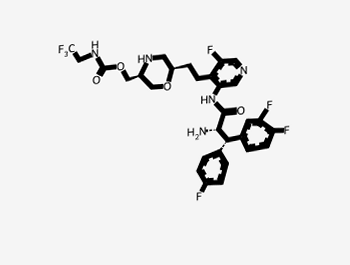 N[C@H](C(=O)Nc1cncc(F)c1CC[C@@H]1CN[C@H](COC(=O)NCC(F)(F)F)CO1)[C@@H](c1ccc(F)cc1)c1ccc(F)c(F)c1